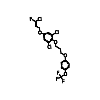 FC(Cl)=CCOc1cc(Cl)c(OCCCOc2ccc(OC(F)(F)F)cc2)c(Cl)c1